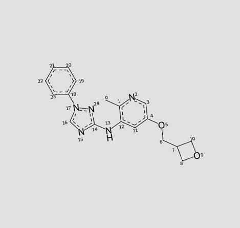 Cc1ncc(OCC2COC2)cc1Nc1ncn(-c2ccccc2)n1